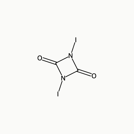 O=C1N(I)C(=O)N1I